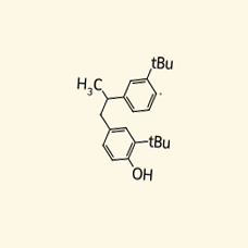 CC(Cc1ccc(O)c(C(C)(C)C)c1)c1cc[c]c(C(C)(C)C)c1